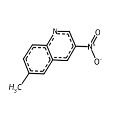 Cc1ccc2ncc([N+](=O)[O-])cc2c1